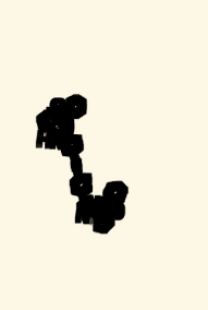 O=S(=O)(c1ccccc1)N1CCC[C@H]1c1ncc(-c2ccc(C#Cc3ccc4nc([C@@H]5CCCN5S(=O)(=O)c5ccccc5)[nH]c4c3)cc2)[nH]1